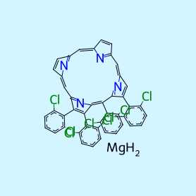 Clc1cccc(Cl)c1C1=CC2=CC3=NC(=CC4=NC(=CC5=NC(=C(c6c(Cl)cccc6Cl)C1=N2)C(c1c(Cl)cccc1Cl)=C5c1c(Cl)cccc1Cl)C=C4)C=C3.[MgH2]